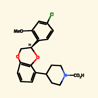 COc1cc(Cl)ccc1[C@@H]1COc2cccc(C3CCN(C(=O)O)CC3)c2O1